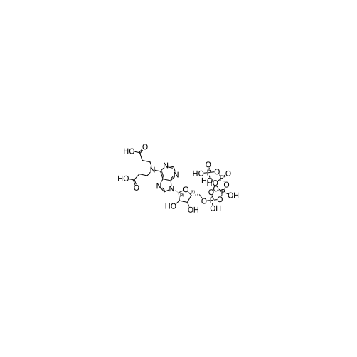 O=C(O)CCN(CCC(=O)O)c1ncnc2c1ncn2[C@@H]1O[C@H](COP(=O)(O)OP(=O)(O)OP(=O)(O)OP(=O)(O)O)C(O)C1O